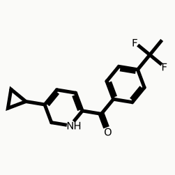 CC(F)(F)c1ccc(C(=O)C2=CC=C(C3CC3)CN2)cc1